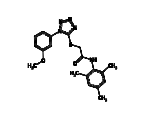 COc1cccc(-n2nnnc2SCC(=O)Nc2c(C)cc(C)cc2C)c1